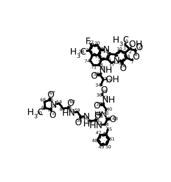 CC[C@@]1(O)C(=O)OCc2c1cc1n(c2=O)Cc2c-1nc1cc(F)c(C)c3c1c2[C@@H](NC(=O)[C@H](O)COCNC(=O)CNC(=O)[C@H](Cc1ccccc1)NC(=O)CNC(=O)CNC(=O)CCN1C(=O)CC(C)C1=O)CC3